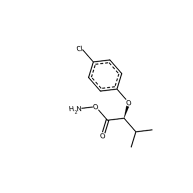 CC(C)[C@H](Oc1ccc(Cl)cc1)C(=O)ON